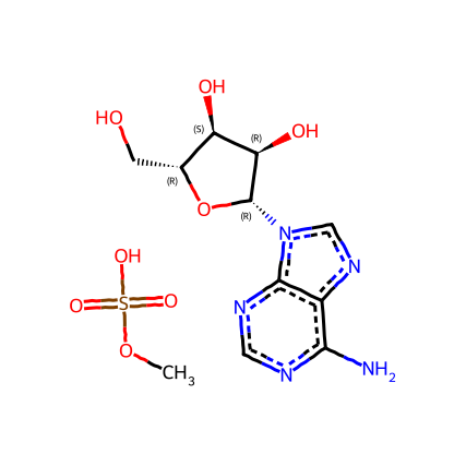 COS(=O)(=O)O.Nc1ncnc2c1ncn2[C@@H]1O[C@H](CO)[C@@H](O)[C@H]1O